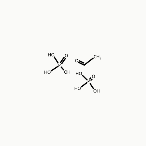 CC=O.O=P(O)(O)O.O=P(O)(O)O